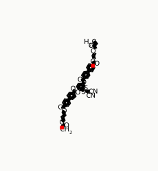 C=CC(=O)COCCCOC(=O)C1CCC(C2CCC(C(=O)Oc3ccc(OC(=O)C4CCC(C5CCC(C(=O)OCCCCOC(=O)C=C)CC5)CC4)c4c3SC(=C(C#N)C#N)S4)CC2)CC1